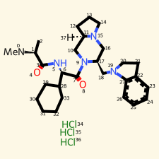 CN[C@@H](C)C(=O)N[C@H](C(=O)N1C[C@H]2CCCN2C[C@H]1CN1CCc2ccccc21)C1CCCCC1.Cl.Cl.Cl